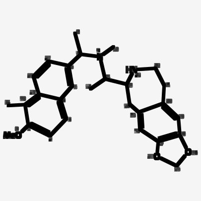 COc1ccc2cc(C(C)N(C)C(C)C3Cc4cc5c(cc4CCN3)OCO5)ccc2c1C